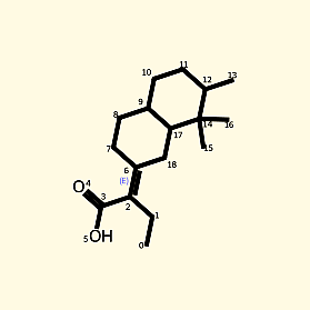 CC/C(C(=O)O)=C1/CCC2CCC(C)C(C)(C)C2C1